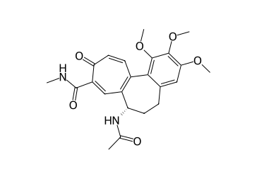 CNC(=O)c1cc2c(ccc1=O)-c1c(cc(OC)c(OC)c1OC)CC[C@@H]2NC(C)=O